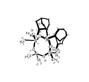 C=C1CC2CCC1([Si]1(C34CCC(CC3=C)C4)O[Si](C)(C)O[Si](C)(C)O[Si](C)(C)O1)C2